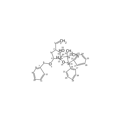 C=CC1CC(OCc2ccccc2)C(O[Si](c2ccccc2)(c2ccccc2)C(C)(C)C)C1O